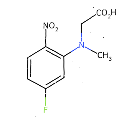 CN(CC(=O)O)c1cc(F)ccc1[N+](=O)[O-]